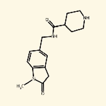 CN1C(=O)Cc2cc(CNC(=O)C3CCNCC3)ccc21